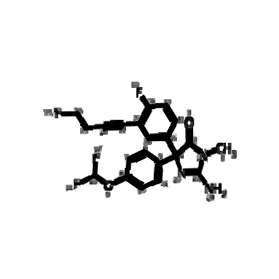 CN1C(=O)C(c2ccc(OC(F)F)cc2)(c2ccc(F)c(C#CCCF)c2)N=C1N